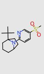 CC(C)(C)C12CCCC(CC1)N2c1ccc(S(C)(=O)=O)cn1